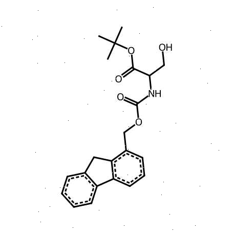 CC(C)(C)OC(=O)C(CO)NC(=O)OCc1cccc2c1Cc1ccccc1-2